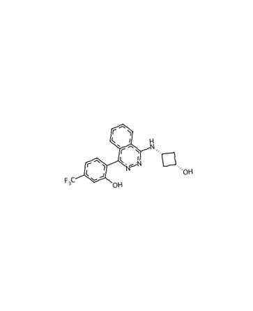 Oc1cc(C(F)(F)F)ccc1-c1nnc(N[C@H]2C[C@@H](O)C2)c2ccccc12